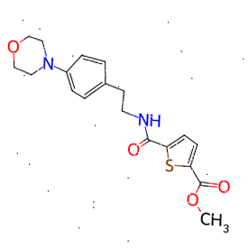 COC(=O)c1ccc(C(=O)NCCc2ccc(N3CCOCC3)cc2)s1